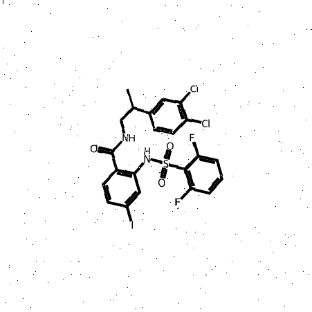 CC(CNC(=O)c1ccc(I)cc1NS(=O)(=O)c1c(F)cccc1F)c1ccc(Cl)c(Cl)c1